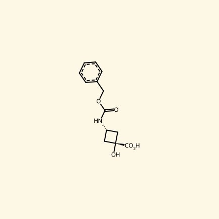 O=C(N[C@H]1C[C@](O)(C(=O)O)C1)OCc1ccccc1